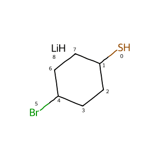 SC1CCC(Br)CC1.[LiH]